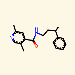 Cc1cc(C(=O)NCCC(C)c2ccccc2)c(C)cn1